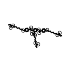 C=CC(=O)OCCCCCCOc1ccc(C(=O)Oc2ccc(OC(=O)c3ccc(OCCCCCCOC(=O)C=C)cc3)c(C(=O)OCCCCOC(=O)C=C)c2)cc1